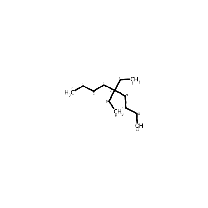 CCCCC(CC)(CC)CCCO